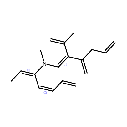 C=C/C=C\C(=C/C)N(C)/C=C(\C(=C)C)C(=C)CC=C